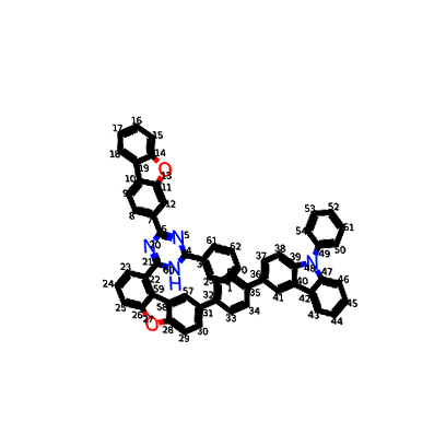 c1ccc(C2N=C(c3ccc4c(c3)oc3ccccc34)N=C(c3cccc4oc5ccc(-c6ccc(-c7ccc8c(c7)c7ccccc7n8-c7ccccc7)cc6)cc5c34)N2)cc1